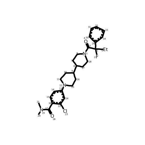 CCC(F)(C(=O)N1CCC(C2CCN(c3ccc(C(=O)N(C)C)c(Cl)c3)CC2)CC1)c1ccccc1